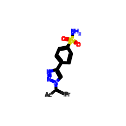 CC(=O)[C@H](C(C)C)n1cc(-c2ccc(S(N)(=O)=O)cc2)nn1